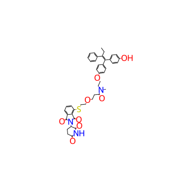 CC/C(=C(\c1ccc(O)cc1)c1ccc(OCCN(C)C(=O)CCOCCSc2cccc3c2C(=O)N(C2CCC(=O)NC2=O)C3=O)cc1)c1ccccc1